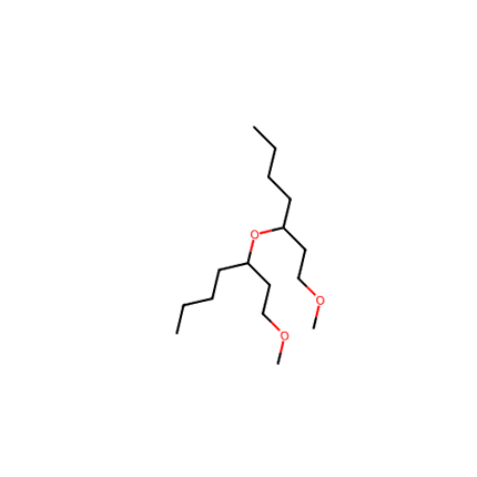 CCCCC(CCOC)OC(CCCC)CCOC